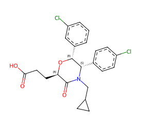 O=C(O)CC[C@H]1O[C@H](c2cccc(Cl)c2)[C@H](c2ccc(Cl)cc2)N(CC2CC2)C1=O